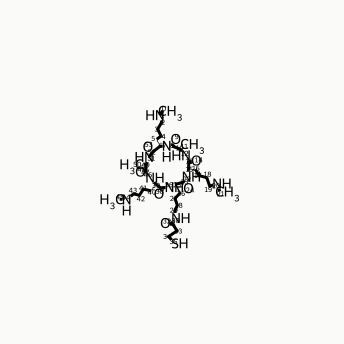 CNCCCC[C@@H]1NC(=O)[C@@H](C)NC(=O)[C@H](CCCCNC)NC(=O)[C@@H](CCCCNC(=O)CCS)NC(=O)[C@H](CCCCNC)NC(=O)[C@@H](C)NC1=O